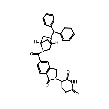 O=C1CCC(N2Cc3cc(C(=O)N4C[C@@H]5C[C@H]4CN5C(c4ccccc4)c4ccccc4)ccc3C2=O)C(=O)N1